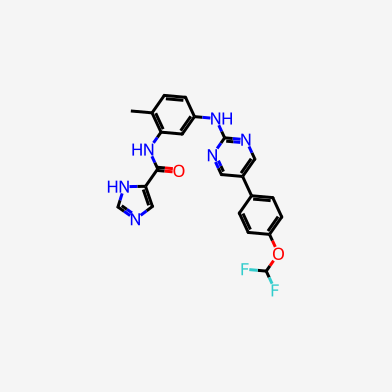 Cc1ccc(Nc2ncc(-c3ccc(OC(F)F)cc3)cn2)cc1NC(=O)c1cnc[nH]1